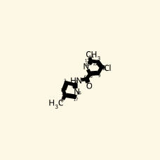 Cc1ccc(NC(=O)c2cc(Cl)cc(C)n2)nc1